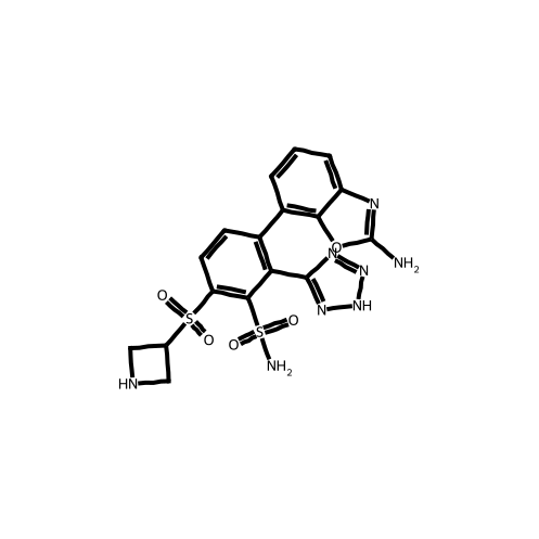 Nc1nc2cccc(-c3ccc(S(=O)(=O)C4CNC4)c(S(N)(=O)=O)c3-c3nn[nH]n3)c2o1